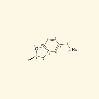 C[C@@H]1Cc2cc(CC(C)(C)C)ccc2O1